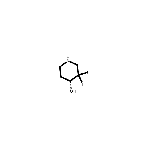 O[C@@H]1CCNCC1(F)F